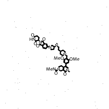 CNC(=O)N1CCc2c(-c3cc(OC)c(CN4CCC(CCN(C)C5CCN(c6ccc7c(c6)C(=O)N(C6CCC(=O)NC6=O)C7=O)C5)CC4)c(OC)c3)cn(C)c(=O)c2C1